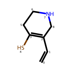 C=CC1=C(S)CCNC1